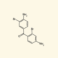 Nc1ccc(C(=O)c2ccc(N)c(Br)c2)c(Br)c1